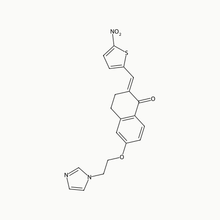 O=C1/C(=C/c2ccc([N+](=O)[O-])s2)CCc2cc(OCCn3ccnc3)ccc21